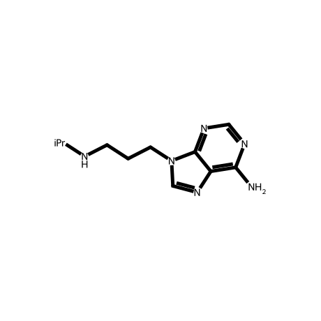 CC(C)NCCCn1cnc2c(N)ncnc21